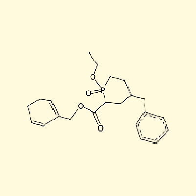 CCOP1(=O)CCC(Cc2ccccc2)CC1C(=O)OCC1=CCCC=C1